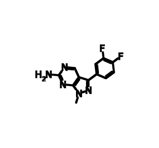 Cn1nc(-c2ccc(F)c(F)c2)c2cnc(N)nc21